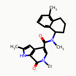 CCn1cc(C(=O)N(C)C2CCCc3c(C)cccc32)c2cc(C)[nH]c2c1=O